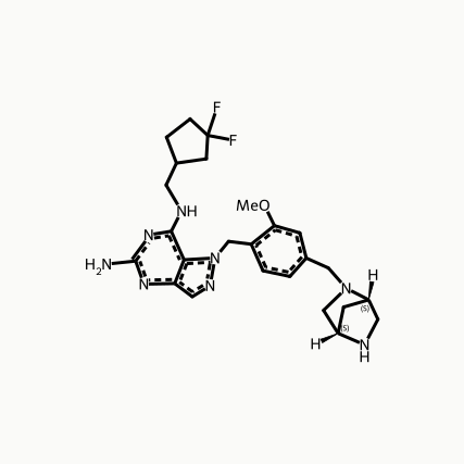 COc1cc(CN2C[C@@H]3C[C@H]2CN3)ccc1Cn1ncc2nc(N)nc(NCC3CCC(F)(F)C3)c21